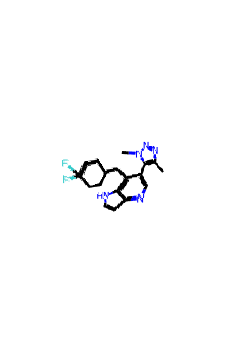 Cc1nnn(C)c1-c1cnc2cc[nH]c2c1CC1CCC(F)(F)CC1